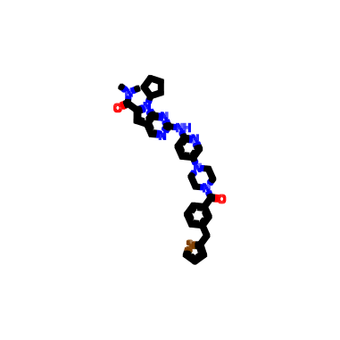 CN(C)C(=O)c1cc2cnc(Nc3ccc(N4CCN(C(=O)c5cccc(Cc6cccs6)c5)CC4)cn3)nc2n1C1CCCC1